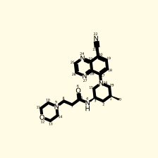 C[C@H]1C[C@@H](NC(=O)CCN2CCOCC2)CN(c2ccc(C#N)c3nccnc23)C1